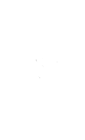 CC(O)[C@@H]1C[C@@H](O)CN1C(=O)OC(C)(C)C